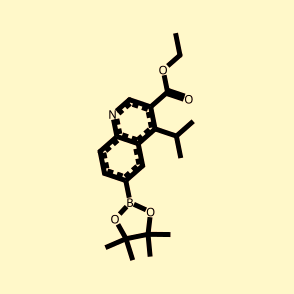 CCOC(=O)c1cnc2ccc(B3OC(C)(C)C(C)(C)O3)cc2c1C(C)C